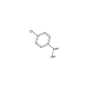 O[AsH]c1ccc(Cl)cc1